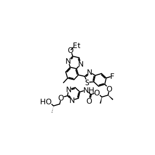 CCOc1cnc2c(-c3nc4cc(F)c(O[C@@H](C)[C@@H](C)OC(=O)Nc5cnc(OC[C@H](C)O)nc5)cc4s3)cc(C)cc2n1